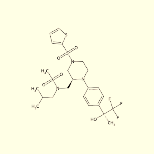 CC(C)CN(C[C@H]1CN(S(=O)(=O)c2cccs2)CCN1c1ccc([C@](C)(O)C(F)(F)F)cc1)S(C)(=O)=O